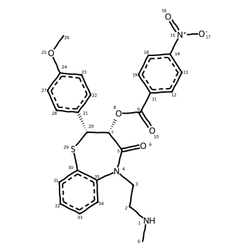 CNCCN1C(=O)[C@@H](OC(=O)c2ccc([N+](=O)[O-])cc2)[C@@H](c2ccc(OC)cc2)Sc2ccccc21